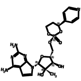 C[C@@]1(O)[C@H](O)[C@@H](CO[P@@]2(=O)OCC[C@@H](c3ccncc3)O2)O[C@H]1n1ccc2c(N)nc(N)nc21